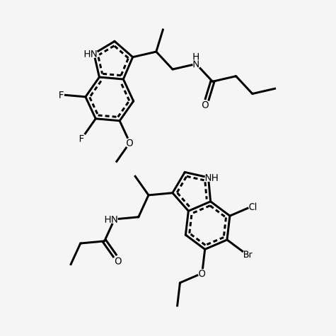 CCCC(=O)NCC(C)c1c[nH]c2c(F)c(F)c(OC)cc12.CCOc1cc2c(C(C)CNC(=O)CC)c[nH]c2c(Cl)c1Br